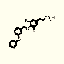 O=C(O)CCc1cc(F)c(OCc2cccc(Oc3ccccc3)c2)c(F)c1